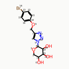 OC1COC(n2cc(COc3ccc(Br)cc3)nn2)C(O)C1O